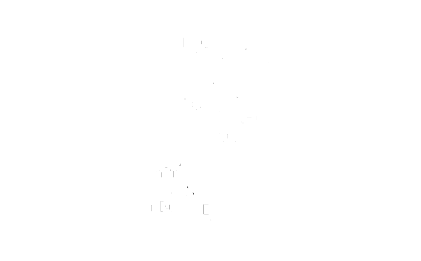 C=C1CCCC(CC)(C(=O)OCC[N+](CC)(CCC)CCCC)C1